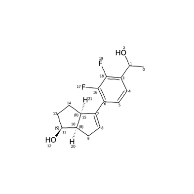 CC(O)c1ccc(C2=CC[C@H]3[C@@H](O)CC[C@@H]23)c(F)c1F